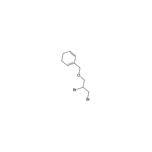 BrCC(Br)COCC1=CCCC=C1